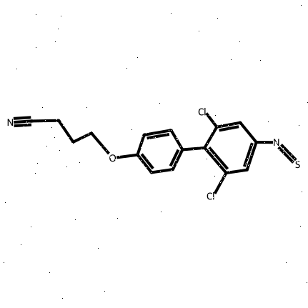 N#CCCCOc1ccc(-c2c(Cl)cc(N=S)cc2Cl)cc1